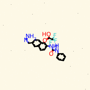 N/N=C\c1ccc2cc(NC(=O)Nc3ccccc3)ccc2c1.O=C(O)C(F)(F)F